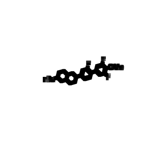 CCCCC1CCC2CC(c3ccc(-c4cc(F)c(OC)c(F)c4)c(F)c3)CCC2C1